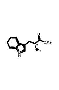 COC(=O)[C@@H](N)Cc1c[nH]c2c1=CCCC=2